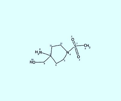 CS(=O)(=O)N1CCC(N)(CO)CC1